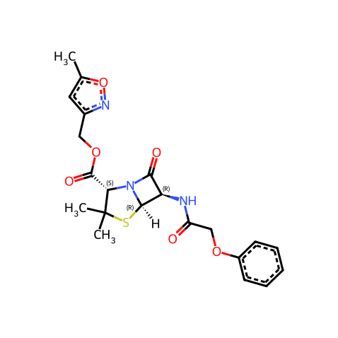 Cc1cc(COC(=O)[C@@H]2N3C(=O)[C@@H](NC(=O)COc4ccccc4)[C@H]3SC2(C)C)no1